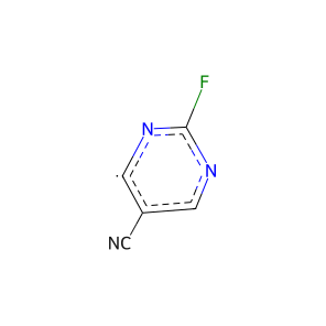 N#Cc1[c]nc(F)nc1